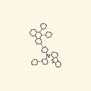 c1ccc(-c2cccc(N(c3ccc(-c4ccc5c(c4)c(-c4ccccc4)c(-c4ccccc4)c4ccccc45)cc3)c3cccc4c3sc3ccccc34)c2)cc1